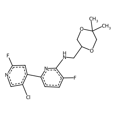 CC1(C)COC(CNc2nc(-c3cc(F)ncc3Cl)ccc2F)CO1